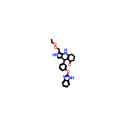 CCOOCc1[nH]cc2c1NC1=C(C(=O)CCC1)C2c1cccc(Oc2nc3ccccc3[nH]2)c1